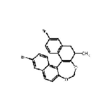 CC1Cc2cc(Br)ccc2C2=C1OCOc1ccc3cc(Br)ccc3c12